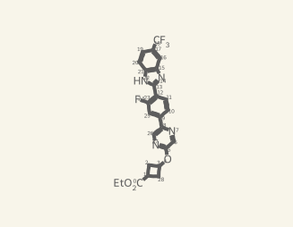 CCOC(=O)C1CC(Oc2cnc(-c3ccc(-c4nc5cc(C(F)(F)F)ccc5[nH]4)c(F)c3)cn2)C1